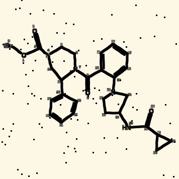 CC(C)(C)OC(=O)N1CCN(C(=O)c2ccccc2N2CCC(NC(=O)C3CC3)C2)C(c2ccccc2)C1